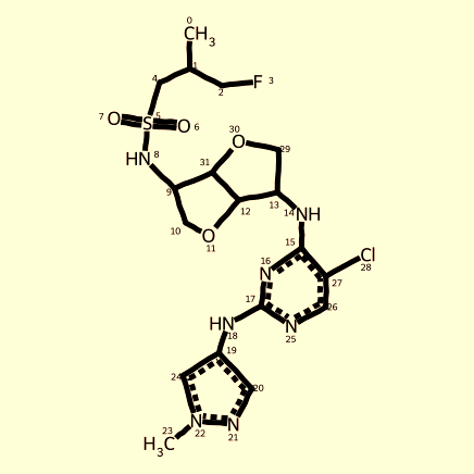 CC(CF)CS(=O)(=O)NC1COC2C(Nc3nc(Nc4cnn(C)c4)ncc3Cl)COC12